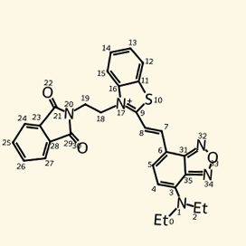 CCN(CC)c1ccc(/C=C/c2sc3ccccc3[n+]2CCN2C(=O)c3ccccc3C2=O)c2nonc12